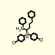 Clc1ccc([SiH](c2ccc(Cl)cc2)C(CCCc2ccccc2)[SiH2]c2ccccc2)cc1